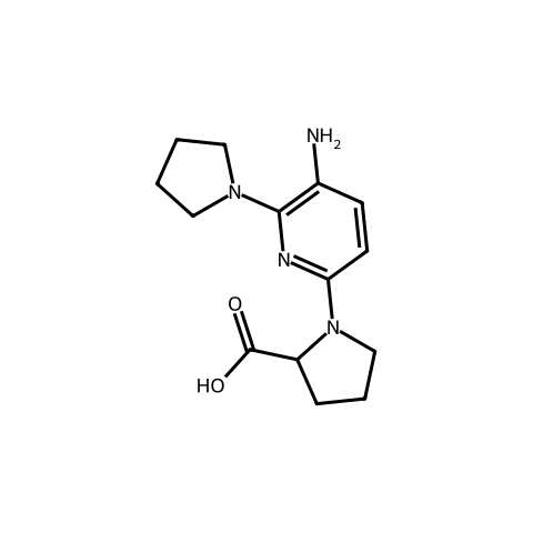 Nc1ccc(N2CCCC2C(=O)O)nc1N1CCCC1